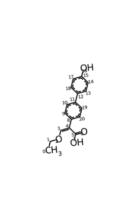 CCOC=C(C(=O)O)c1ccc(-c2ccc(O)cc2)cc1